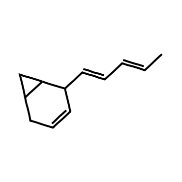 C/C=C/C=C/C1C=CCC2CC12